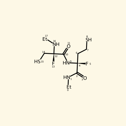 CCNC(=O)[C@@](F)(CCS)NC(=O)[C@](F)(CS)NCC